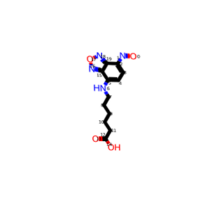 O=Nc1ccc(NCCCCCC(=O)O)c2nonc12